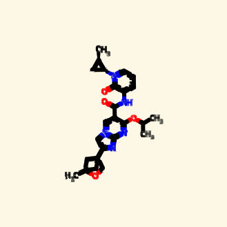 CC(C)Oc1nc2nc(C34COC(C)(C3)C4)cn2cc1C(=O)Nc1cccn([C@H]2C[C@H]2C)c1=O